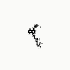 CCN(CC)CCCNCCOc1ccc(C=NN)c2ccccc12